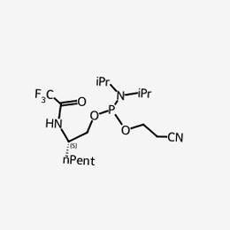 CCCCC[C@@H](COP(OCCC#N)N(C(C)C)C(C)C)NC(=O)C(F)(F)F